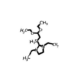 CCOC(C[SiH2]C1N(CC)CCN1CC)OCC